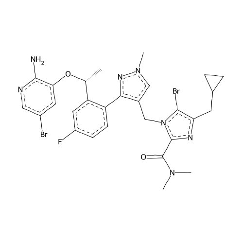 C[C@@H](Oc1cc(Br)cnc1N)c1cc(F)ccc1-c1nn(C)cc1Cn1c(C(=O)N(C)C)nc(CC2CC2)c1Br